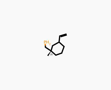 C=CC1CCC[C@](C)(CP)C1